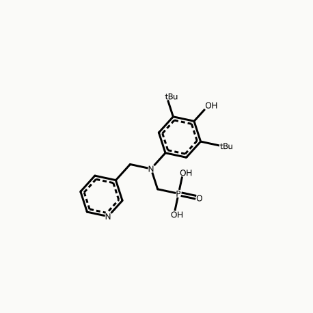 CC(C)(C)c1cc(N(Cc2cccnc2)CP(=O)(O)O)cc(C(C)(C)C)c1O